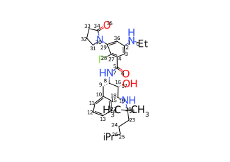 CCNc1cc(C(=O)N[C@@H](Cc2ccccc2)[C@H](O)CNC(C)(C)CCCC(C)C)c(F)c(N2CCCC2=O)c1